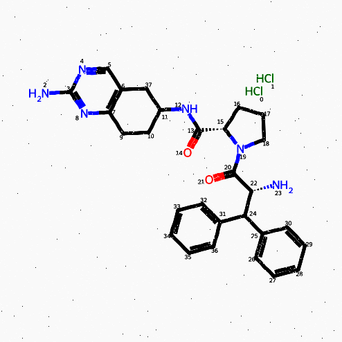 Cl.Cl.Nc1ncc2c(n1)CCC(NC(=O)[C@@H]1CCCN1C(=O)[C@H](N)C(c1ccccc1)c1ccccc1)C2